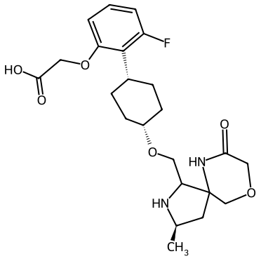 C[C@@H]1CC2(COCC(=O)N2)C(CO[C@H]2CC[C@@H](c3c(F)cccc3OCC(=O)O)CC2)N1